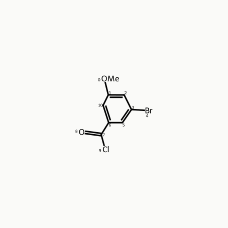 COc1cc(Br)cc(C(=O)Cl)c1